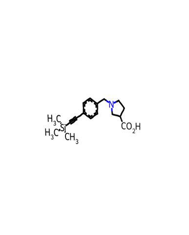 C[Si](C)(C)C#Cc1ccc(CN2CCC(C(=O)O)C2)cc1